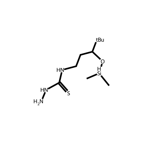 C[SiH](C)OC(CCNC(=S)NN)C(C)(C)C